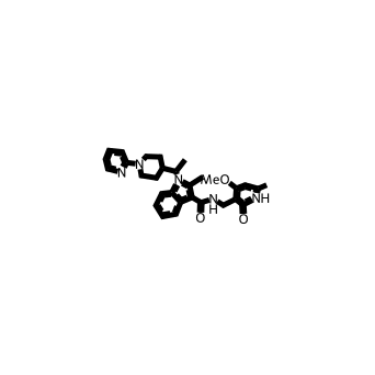 COc1cc(C)[nH]c(=O)c1CNC(=O)c1c(C)n(C(C)C2CCN(c3ccccn3)CC2)c2ccccc12